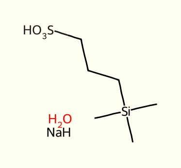 C[Si](C)(C)CCCS(=O)(=O)O.O.[NaH]